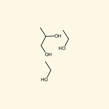 CC(O)CO.CCO.CCO